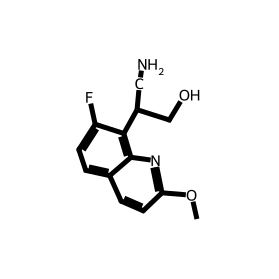 COc1ccc2ccc(F)c(C(CN)CO)c2n1